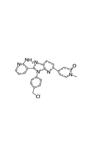 Cn1ccc(-c2ccc3nc(-c4cccnc4N)n(-c4ccc(CCl)cc4)c3n2)cc1=O